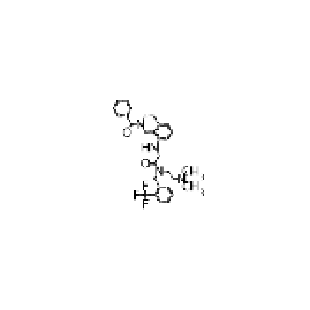 CN(C)CCN(Cc1ccccc1C(F)(F)F)C(=O)CNc1cccc2c1CN(C(=O)c1ccccc1)CC2